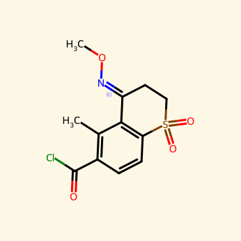 CO/N=C1\CCS(=O)(=O)c2ccc(C(=O)Cl)c(C)c21